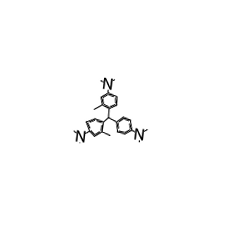 Cc1cc(N(C)C)ccc1C(c1ccc(N(C)C)cc1)c1ccc(N(C)C)cc1C